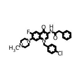 CN1CCN(c2cc3c(cc2F)c(=O)c(NC(=O)Cc2ccccc2)cn3Cc2ccc(Cl)cc2)CC1